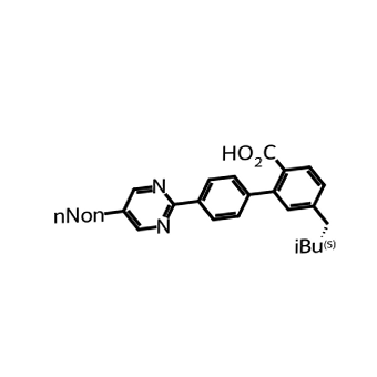 CCCCCCCCCc1cnc(-c2ccc(-c3cc(C[C@@H](C)CC)ccc3C(=O)O)cc2)nc1